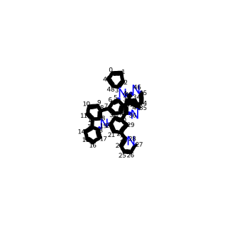 c1ccc(-n2c3cc(-c4cccc5c6ccccc6n(-c6cc(-c7ccccn7)cc(-c7ccccn7)c6)c45)ccc3c3cccnc32)cc1